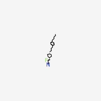 CCCCCc1ccc(CCCC[C@H]2CC[C@H](C=C(F)C#N)CC2)cc1